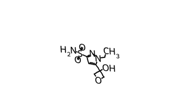 CCn1nc(S(N)(=O)=O)cc1C1(O)COC1